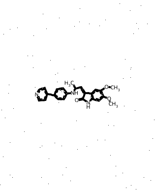 COc1cc2c(cc1OC)C(=CC(C)Nc1ccc(-c3ccncc3)cc1)C(=O)N2